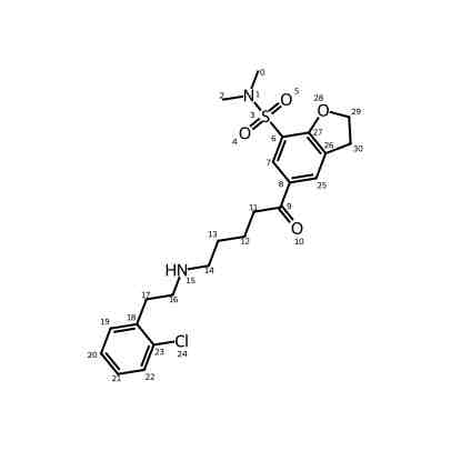 CN(C)S(=O)(=O)c1cc(C(=O)CCCCNCCc2ccccc2Cl)cc2c1OCC2